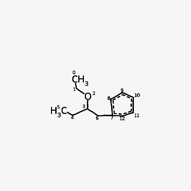 CCOC(CC)Cc1ccccc1